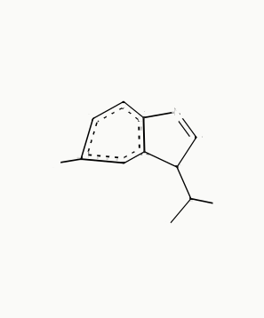 CC(C)C1C=Nc2ccc(Cl)cc21